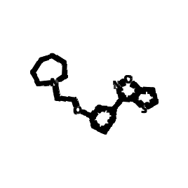 c1cc(OCCN2CCCCCC2)cc(-c2noc3ccsc23)c1